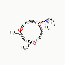 CCCCC1CCCCCCC(CCCC)CC(=O)OCCCCCCCCCCC(COCCCN(C)C(C)C)CCCCCCCCCCOC(=O)C1